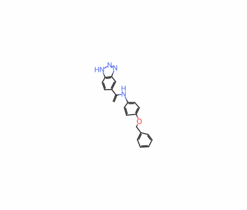 C=C(Nc1ccc(OCc2ccccc2)cc1)c1ccc2[nH]nnc2c1